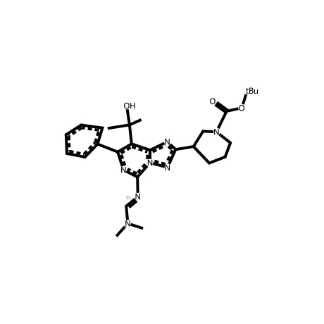 CN(C)/C=N/c1nc(-c2ccccc2)c(C(C)(C)O)c2nc(C3CCCN(C(=O)OC(C)(C)C)C3)nn12